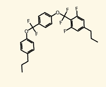 CCCc1ccc(OC(F)(F)c2ccc(OC(F)(F)c3c(F)cc(CCC)cc3F)cc2)cc1